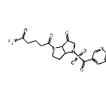 NC(=O)CCCC(=O)N1CCC2C1C(=O)CN2S(=O)(=O)C(=O)c1cccnc1